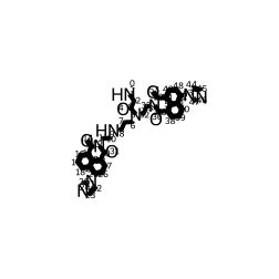 CNCC(=O)N(CCCNCCN1C(=O)c2cccc3c(-n4ccnc4)ccc(c23)C1=O)CCN1C(=O)c2cccc3c(-n4ccnc4)ccc(c23)C1=O